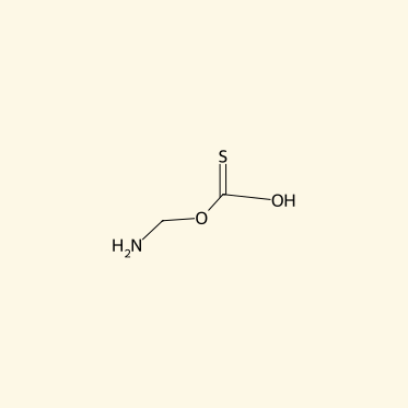 NCOC(O)=S